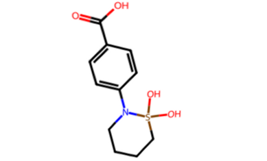 O=C(O)c1ccc(N2CCCCS2(O)O)cc1